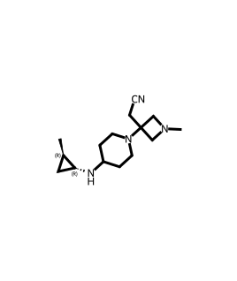 C[C@@H]1C[C@H]1NC1CCN(C2(CC#N)CN(C)C2)CC1